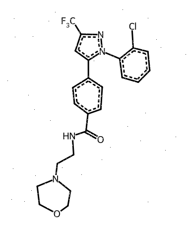 O=C(NCCN1CCOCC1)c1ccc(-c2cc(C(F)(F)F)nn2-c2ccccc2Cl)cc1